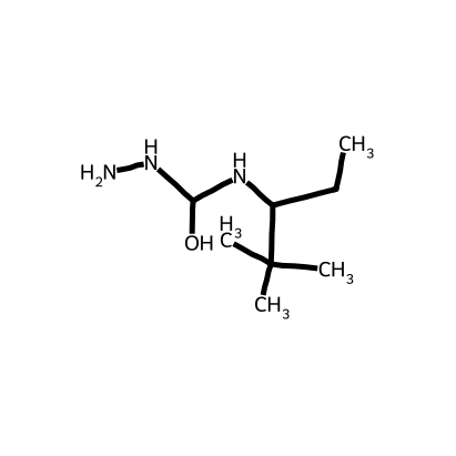 CCC(NC(O)NN)C(C)(C)C